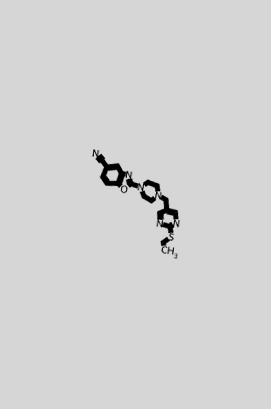 CCSc1ncc(CN2CCN(c3nc4cc(C#N)ccc4o3)CC2)cn1